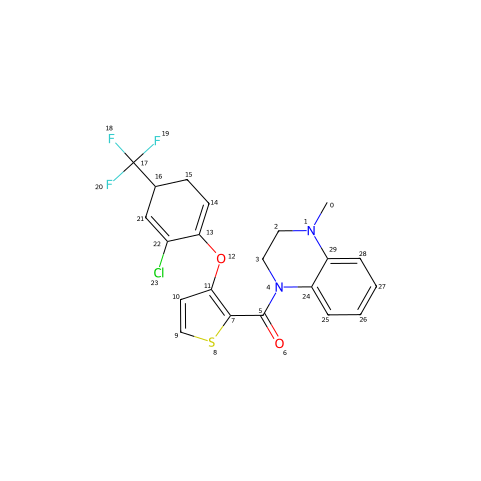 CN1CCN(C(=O)c2sccc2OC2=CCC(C(F)(F)F)C=C2Cl)c2ccccc21